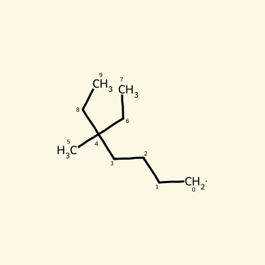 [CH2]CCCC(C)(CC)CC